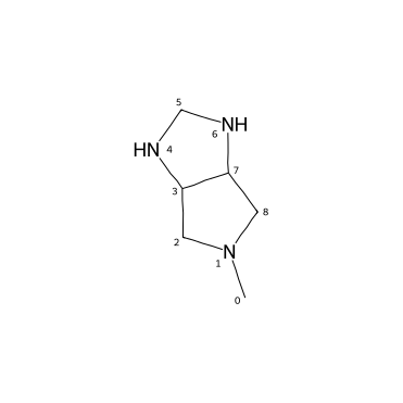 CN1CC2NCNC2C1